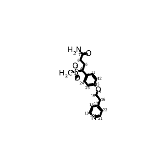 CS(=O)(=O)C(CCC(N)=O)c1ccc(OCCc2ccncc2)cc1